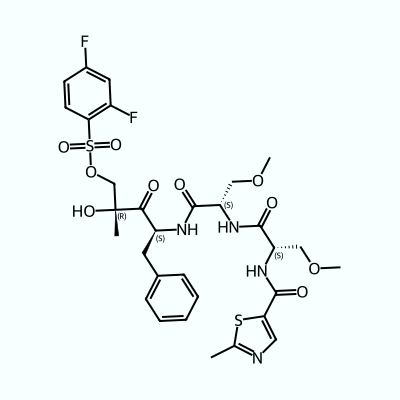 COC[C@H](NC(=O)c1cnc(C)s1)C(=O)N[C@@H](COC)C(=O)N[C@@H](Cc1ccccc1)C(=O)[C@](C)(O)COS(=O)(=O)c1ccc(F)cc1F